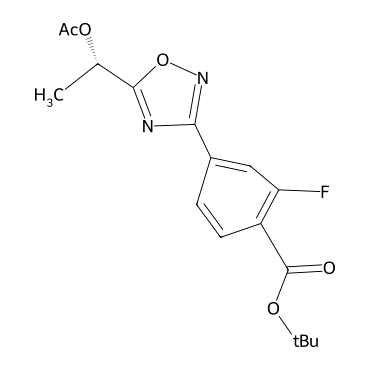 CC(=O)O[C@@H](C)c1nc(-c2ccc(C(=O)OC(C)(C)C)c(F)c2)no1